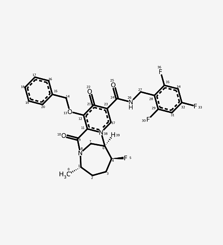 C[C@H]1CC[C@H](F)[C@H]2CN1C(=O)c1c(OCc3ccccc3)c(=O)c(C(=O)NCc3c(F)cc(F)cc3F)cn12